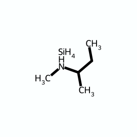 CCC(C)NC.[SiH4]